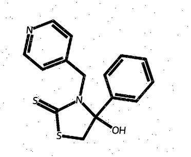 OC1(c2ccccc2)CSC(=S)N1Cc1ccncc1